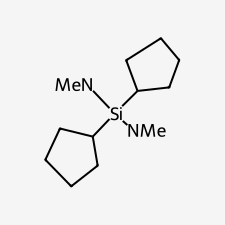 CN[Si](NC)(C1CCCC1)C1CCCC1